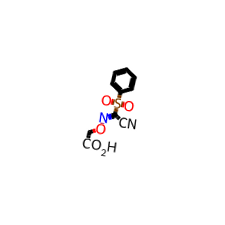 N#CC(=NOCC(=O)O)S(=O)(=O)c1ccccc1